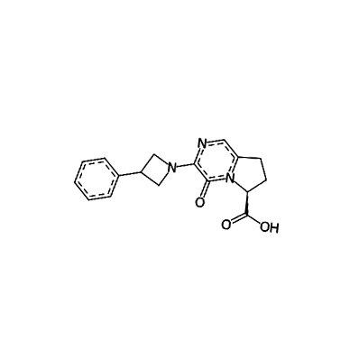 O=C(O)[C@@H]1CCc2cnc(N3CC(c4ccccc4)C3)c(=O)n21